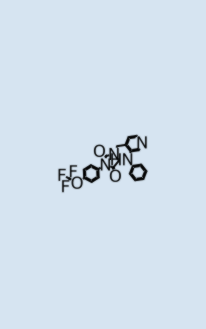 O=C1CN(Cc2ccncc2Nc2ccccc2)C(=O)N1c1ccc(OC(F)(F)F)cc1